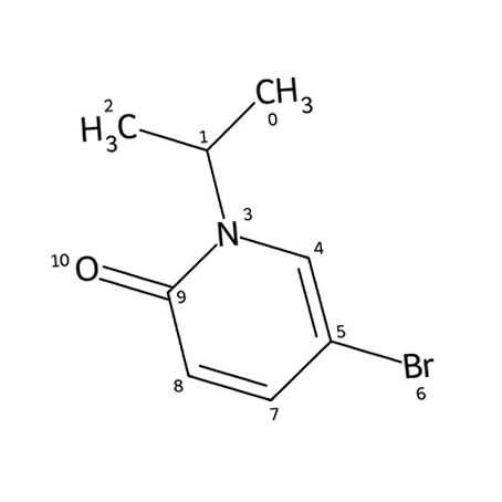 CC(C)n1cc(Br)ccc1=O